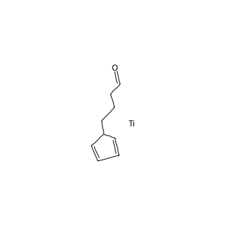 O=CCCCC1C=CC=C1.[Ti]